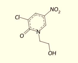 O=c1c(Cl)cc([N+](=O)[O-])cn1CCO